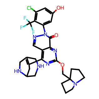 O=c1c2nc(OCC34CCCN3CCC4)nc(C3=C4CNCC(C3)NC4)c2cnn1-c1cc(O)cc(Cl)c1C(F)(F)F